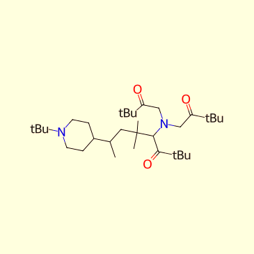 CC(CC(C)(C)C(C(=O)C(C)(C)C)N(CC(=O)C(C)(C)C)CC(=O)C(C)(C)C)C1CCN(C(C)(C)C)CC1